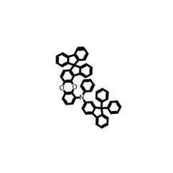 c1ccc2c(c#1)-c1ccccc1C21c2ccccc2-c2c1ccc1c2Oc2c(cccc2N(c2ccccc2)c2ccc3c(c2)C(c2ccccc2)(c2ccccc2)c2ccccc2-3)O1